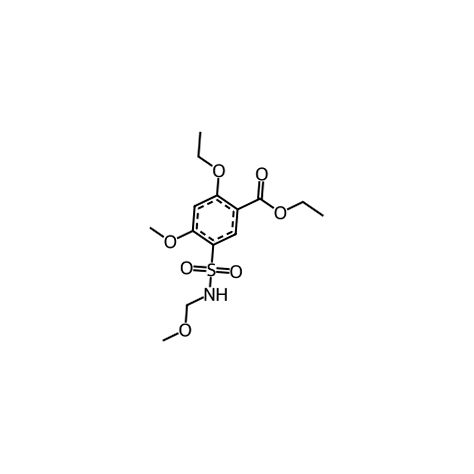 CCOC(=O)c1cc(S(=O)(=O)NCOC)c(OC)cc1OCC